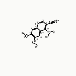 COc1cc2ncc(C#N)c(N(C)C)c2cc1OC